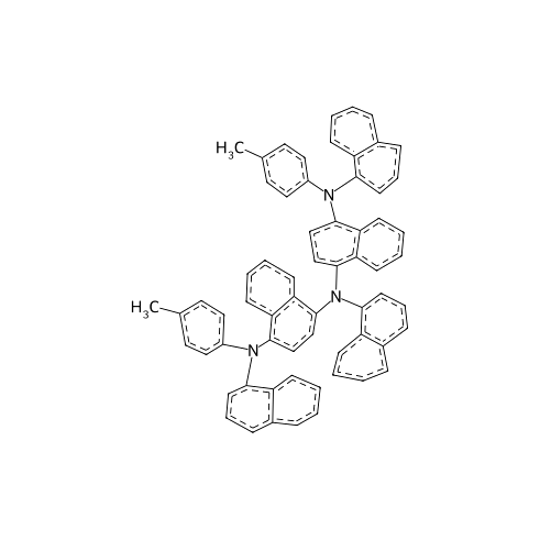 Cc1ccc(N(c2cccc3ccccc23)c2ccc(N(c3cccc4ccccc34)c3ccc(N(c4ccc(C)cc4)c4cccc5ccccc45)c4ccccc34)c3ccccc23)cc1